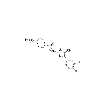 N#Cc1sc(NC(=O)C2CCC(C(=O)O)CC2)nc1-c1ccc(F)c(F)c1